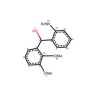 COc1cccc(C(O)c2ccccc2NC(C)=O)c1OC